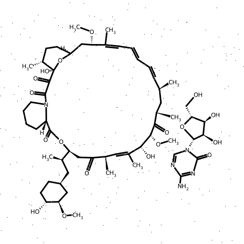 CO[C@H]1C[C@@H]2CC[C@@H](C)[C@@](O)(O2)C(=O)C(=O)N2CCCC[C@H]2C(=O)O[C@H]([C@H](C)C[C@@H]2CC[C@@H](O)[C@H](OC)C2)CC(=O)[C@H](C)/C=C(\C)[C@@H](O)[C@@H](OC)C(=O)[C@H](C)C[C@H](C)/C=C/C=C/C=C/1C.Nc1ncn([C@@H]2O[C@H](CO)[C@@H](O)[C@H]2O)c(=O)n1